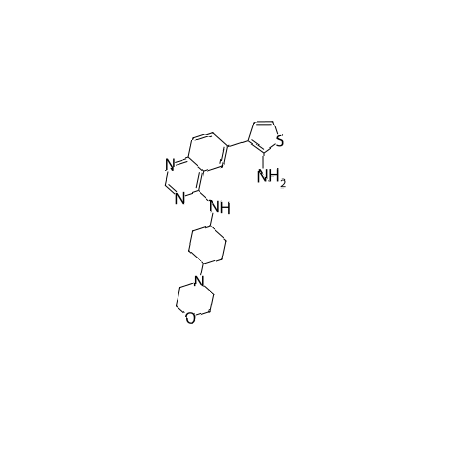 Nc1sccc1-c1ccc2ncnc(NC3CCC(N4CCOCC4)CC3)c2c1